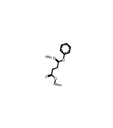 CCCCCCCCCOC(=O)CCC(=O)Oc1ccccc1.[NaH]